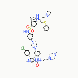 Cc1c(C(=O)NCCCN2CCN(C)CC2)c(-c2cccc(N3CCN(c4ccc(NS(=O)(=O)c5ccc(N[C@H](CCN6CCCC6)CSc6ccccc6)c([N+](=O)[O-])c5)cc4)CC3)c2)c(-c2ccc(Cl)cc2)n1C